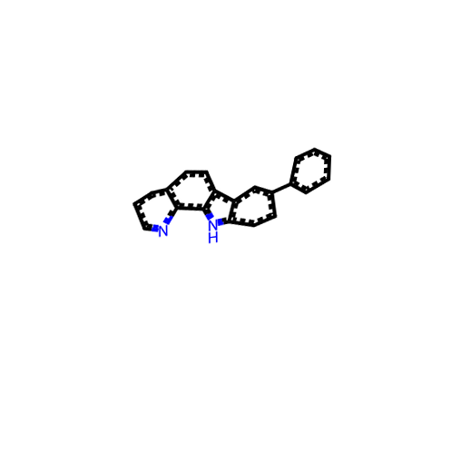 c1ccc(-c2ccc3[nH]c4c(ccc5cccnc54)c3c2)cc1